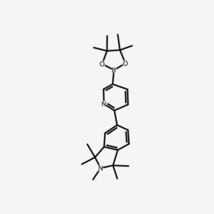 CN1C(C)(C)c2ccc(-c3ccc(B4OC(C)(C)C(C)(C)O4)cn3)cc2C1(C)C